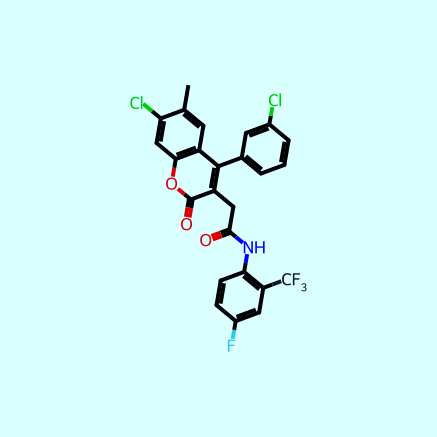 Cc1cc2c(-c3cccc(Cl)c3)c(CC(=O)Nc3ccc(F)cc3C(F)(F)F)c(=O)oc2cc1Cl